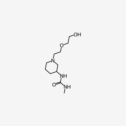 CNC(=O)NC1CCCN(CCOCCO)C1